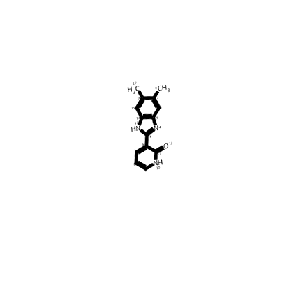 Cc1cc2nc(-c3ccc[nH]c3=O)[nH]c2cc1C